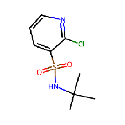 CC(C)(C)NS(=O)(=O)c1cccnc1Cl